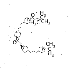 CC(C)N1CCC(CCCC2CCN(CCC(=O)N3CCC(CCCC4CCN(C(=O)CCC(C)(C)C)CC4)CC3)CC2)CC1